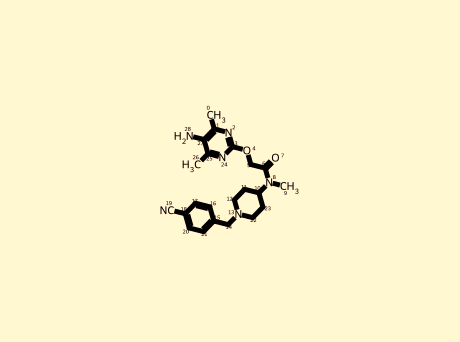 Cc1nc(OCC(=O)N(C)C2CCN(Cc3ccc(C#N)cc3)CC2)nc(C)c1N